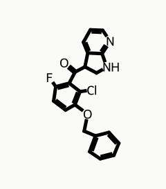 O=C(c1c(F)ccc(OCc2ccccc2)c1Cl)C1CNc2ncccc21